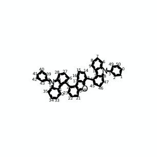 c1ccc(-n2c3ccccc3c3c(-c4cccc5c4oc4cccc(-c6cccc7c6c6ccccc6n7-c6ccccc6)c45)cccc32)cc1